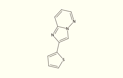 c1csc(-c2cn3ncccc3n2)c1